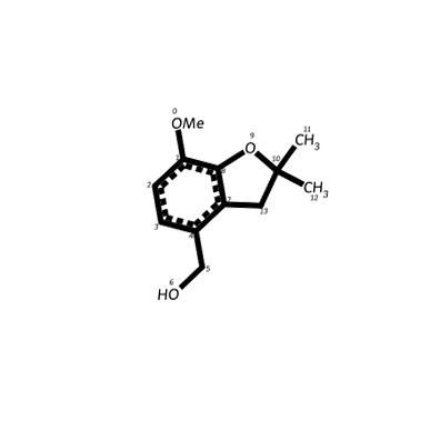 COc1ccc(CO)c2c1OC(C)(C)C2